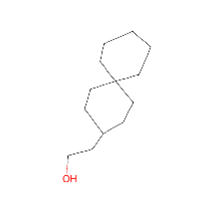 OCCC1CCC2(CCCCC2)CC1